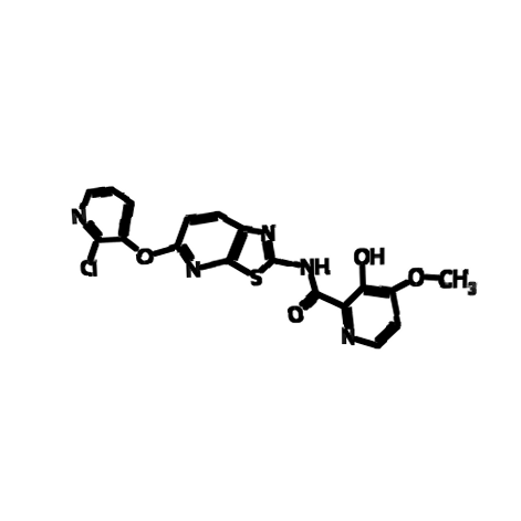 COc1ccnc(C(=O)Nc2nc3ccc(Oc4cccnc4Cl)nc3s2)c1O